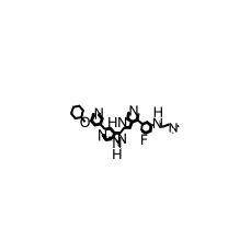 CN(C)CCNc1cc(F)cc(-c2cncc3[nH]c(-c4n[nH]c5cnc(-c6cncc(OC7CCCCC7)c6)cc45)cc23)c1